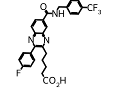 O=C(O)CCCCc1nc2cc(C(=O)NCc3ccc(C(F)(F)F)cc3)ccc2nc1-c1ccc(F)cc1